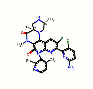 Cc1ccnc(C(C)C)c1-n1c(=O)c2c(c3cc(F)c(-c4nc(N)ccc4Cl)nc31)N1C[C@@H](C)NC[C@@H]1C(=O)N2C